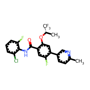 Cc1ccc(-c2cc(O[C@@H](C)C(F)(F)F)c(C(=O)Nc3c(F)cccc3Cl)cc2F)cn1